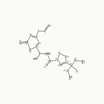 C=CCc1cc(C(CCC)NC(=O)C2CSC(C(C)(OCC)OCC)=N2)oc(=O)c1